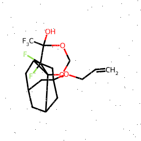 C=CCOC12CC3CC(C1)C1(OCOC(O)(C(F)(F)F)C1(F)F)C(C3)C2